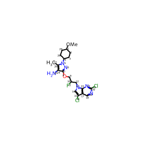 COC1CCC(n2nc(OCC(F)Cn3cc(Cl)c4cnc(Cl)nc43)c(N)c2C)CC1